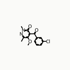 COc1c(C)nn(C)c(=O)c1C(=O)c1cccc(Cl)c1